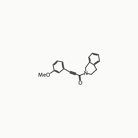 COc1cccc(C#CC(=O)N2CCc3ccccc3C2)c1